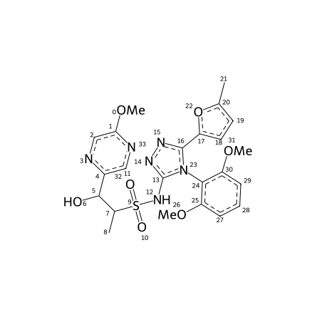 COc1cnc(C(O)C(C)S(=O)(=O)Nc2nnc(-c3ccc(C)o3)n2-c2c(OC)cccc2OC)cn1